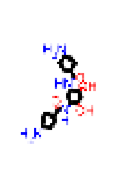 Nc1ccc(C(=O)Nc2cc(NC(=O)c3ccc(N)cc3)c(O)cc2O)cc1